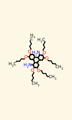 CCCCCOc1cc2c(cc1OCCCCC)c1c(N)c(OCCCCC)c(OCCCCC)cc1c1cc(OCCCCC)c(OCCCCC)c(N)c21